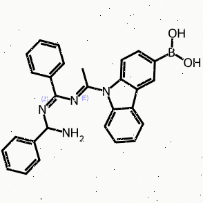 C/C(=N\C(=N/C(N)c1ccccc1)c1ccccc1)n1c2ccccc2c2cc(B(O)O)ccc21